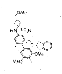 COC[C@H]1C[C@@](Nc2ccc(-c3cc(OC)c(C)c(OC)c3)c(COC3Cc4ccccc4C3)c2)(C(=O)O)C1